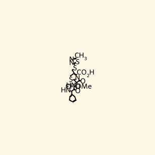 CO[C@@]1(NC(=O)C(NC=O)C2=CCC=CC2)C(=O)N2C(C(=O)O)=C(CSc3nnc(C)s3)CSC21